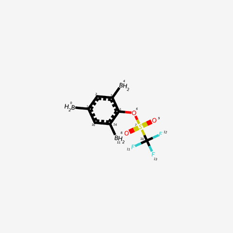 Bc1cc(B)c(OS(=O)(=O)C(F)(F)F)c(B)c1